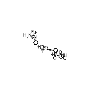 Cn1c(=O)n(C2CCC(=O)NC2=O)c2cccc(C#CCO[C@@H]3CCN(C[C@H]4CC[C@H](n5cc(N)c(C(F)F)n5)CC4)C[C@H]3F)c21